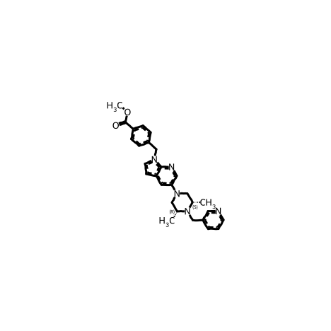 COC(=O)c1ccc(Cn2ccc3cc(N4C[C@@H](C)N(Cc5cccnc5)[C@@H](C)C4)cnc32)cc1